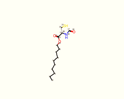 CCCCCCCCCCOC(=O)[C@H](CS)NC=O